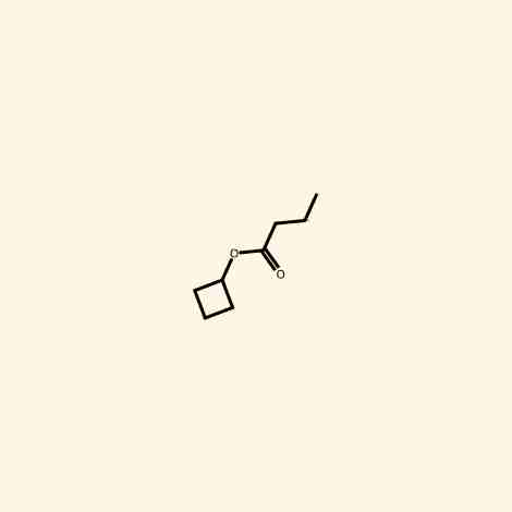 C[CH]CC(=O)OC1CCC1